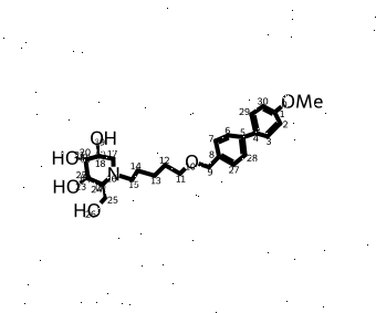 COc1ccc(-c2ccc(COCCCCCN3C[C@H](O)[C@@H](O)[C@H](O)[C@@H]3CO)cc2)cc1